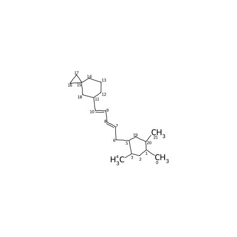 CC1CC(C)C(C/C=C/C=C/C2CCCC3(CC3)C2)CC1C